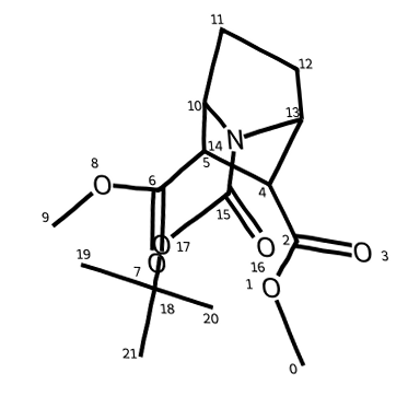 COC(=O)C1C(C(=O)OC)C2CCC1N2C(=O)OC(C)(C)C